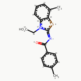 Cc1ccc(C(=O)N=c2sc3c(C(F)(F)F)cccc3n2CC(=O)O)cc1